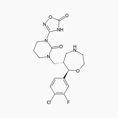 O=C1N(C[C@@H]2CNCCO[C@H]2c2ccc(Cl)c(F)c2)CCCN1c1noc(=O)[nH]1